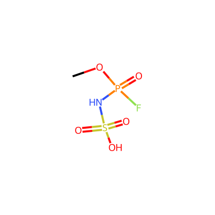 COP(=O)(F)NS(=O)(=O)O